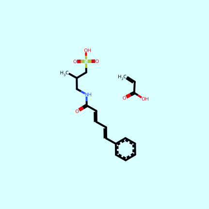 C=CC(=O)O.CC(CNC(=O)C=CC=Cc1ccccc1)CS(=O)(=O)O